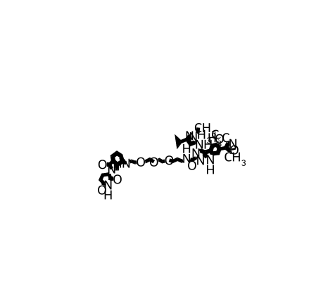 CCn1nc(C2CC2)cc1Nc1nc(C(=O)NCCCOCCOCCOCCNc2cccc3c2CN(C2CCC(=O)NC2=O)C3=O)nc2[nH]c3cc(-c4c(C)noc4C)c(OC)cc3c12